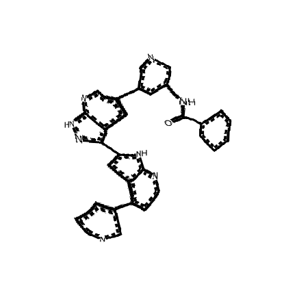 O=C(Nc1cncc(-c2cnc3[nH]nc(-c4cc5c(-c6cccnc6)ccnc5[nH]4)c3c2)c1)c1ccccc1